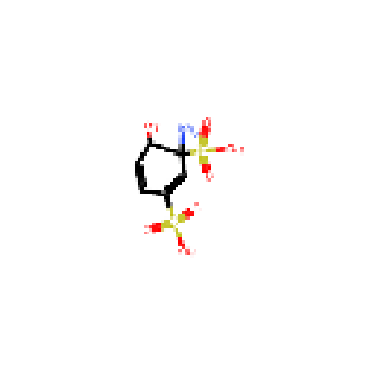 NC1(S(=O)(=O)O)C=C(S(=O)(=O)O)C=CC1O